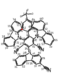 CC(C)(C)c1ccc(-c2c(-n3c4ccccc4c4ccccc43)c(C#N)c(-n3c4ccccc4c4cc(C#N)ccc43)c(C#N)c2-n2c3ccccc3c3ccccc32)cc1